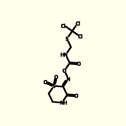 O=C(NCSC(Cl)(Cl)Cl)ON=C1C(=O)NCCS1(=O)=O